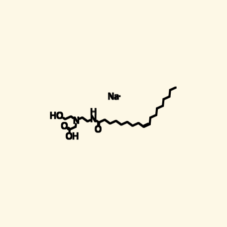 CCCCCCCC/C=C\CCCCCCCC(=O)NCCN(CCO)CC(=O)O.[Na]